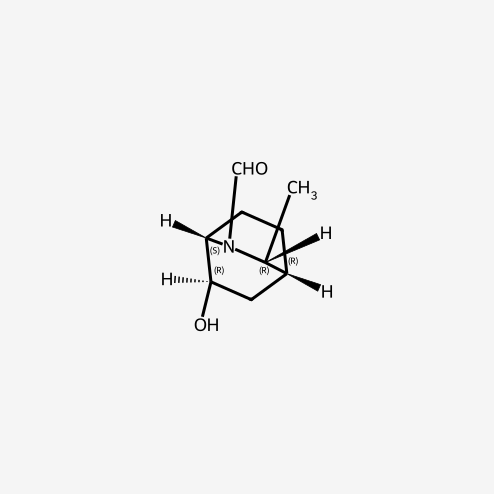 C[C@@H]1[C@@H]2CC[C@@H]([C@H](O)C2)N1C=O